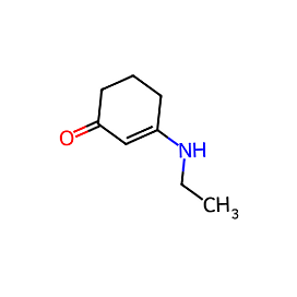 CCNC1=CC(=O)CCC1